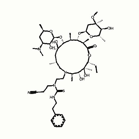 CC[C@H]1OC(=O)[C@H](C)[C@@H](O[C@H]2C[C@@](C)(OC)[C@@H](O)[C@H](C)O2)[C@H](C)[C@@H](O[C@@H]2O[C@H](C)C[C@H](N(C)C)[C@H]2O)[C@](C)(O)C[C@@H](C)CN(CCN(CCC#N)C(=S)NCCc2ccccc2)[C@H](C)[C@@H](O)[C@]1(C)O